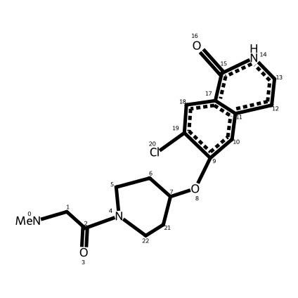 CNCC(=O)N1CCC(Oc2cc3cc[nH]c(=O)c3cc2Cl)CC1